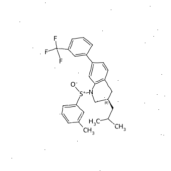 Cc1cccc([S+]([O-])N2C[C@H](CC(C)C)Cc3ccc(-c4cccc(C(F)(F)F)c4)cc32)c1